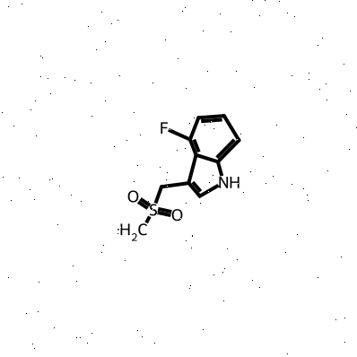 [CH2]S(=O)(=O)Cc1c[nH]c2cccc(F)c12